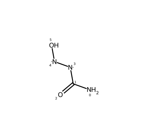 NC(=O)[N][N]O